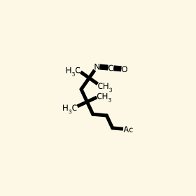 CC(=O)CCCC(C)(C)CC(C)(C)N=C=O